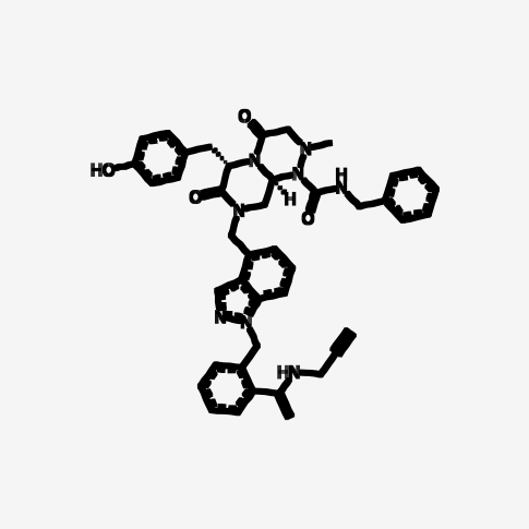 C#CCNC(=C)c1ccccc1Cn1ncc2c(CN3C[C@H]4N(C(=O)CN(C)N4C(=O)NCc4ccccc4)[C@@H](Cc4ccc(O)cc4)C3=O)cccc21